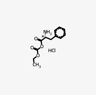 CCOC(=O)OC(=O)[C@H](N)Cc1ccccc1.Cl